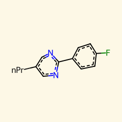 CCCc1cnc(-c2ccc(F)cc2)nc1